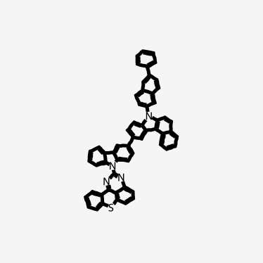 c1ccc(-c2ccc3cc(-n4c5ccc(-c6ccc7c(c6)c6ccccc6n7-c6nc7c8c(cccc8n6)Sc6ccccc6-7)cc5c5c6ccccc6ccc54)ccc3c2)cc1